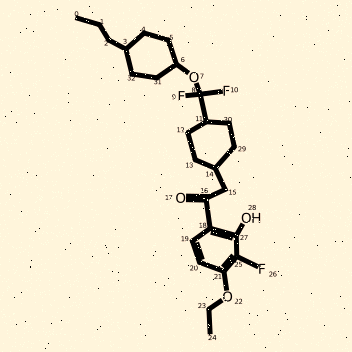 CCCC1CCC(OC(F)(F)C2CCC(CC(=O)c3ccc(OCC)c(F)c3O)CC2)CC1